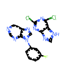 Clc1nc(Cl)c2[nH]cnc2n1.Fc1cccc(-n2cnc3cncnc32)c1